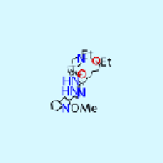 CCC(=O)CCCCC[C@H](NC(=O)[C@H]1CCC12CCN(CC)CC2)c1ncc(-c2cc3ccccc3nc2OC)[nH]1